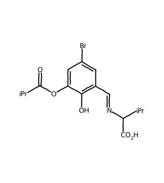 CC(C)C(=O)Oc1cc(Br)cc(C=NC(C(=O)O)C(C)C)c1O